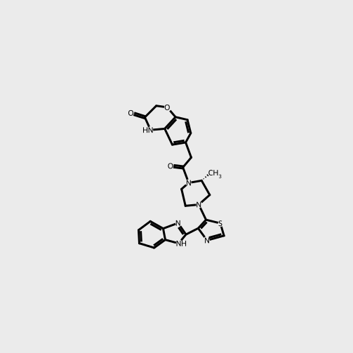 C[C@@H]1CN(c2scnc2-c2nc3ccccc3[nH]2)CCN1C(=O)Cc1ccc2c(c1)NC(=O)CO2